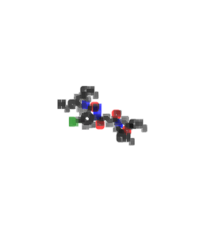 C[C@@H]1C[C@H](C)CN(C(=O)c2cc(Br)ccc2NC(=O)CCC(=O)N2C[C@@H](C)O[C@@H](C)C2)C1